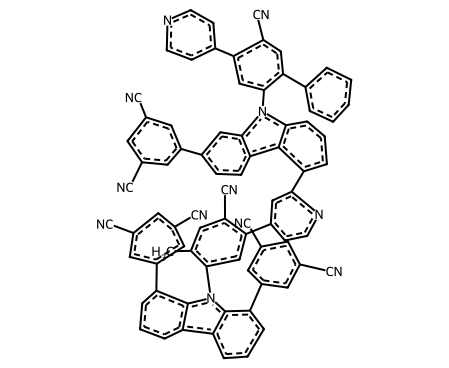 Cc1cc(C#N)c(-c2ccnc(-c3cccc4c3c3ccc(-c5cc(C#N)cc(C#N)c5)cc3n4-c3cc(-c4ccncc4)c(C#N)cc3-c3ccccc3)c2)cc1-n1c2c(-c3cc(C#N)cc(C#N)c3)cccc2c2cccc(-c3cc(C#N)cc(C#N)c3)c21